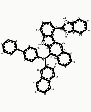 c1ccc(-c2ccc(N(c3ccc4ccccc4c3)c3c4ccccc4cc4c3oc3cccc(-c5nc6ccccc6o5)c34)cc2)cc1